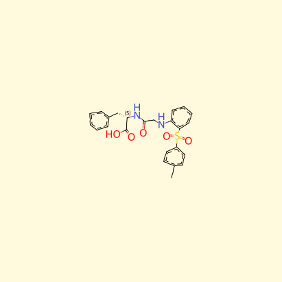 Cc1ccc(S(=O)(=O)c2ccccc2NCC(=O)N[C@@H](Cc2ccccc2)C(=O)O)cc1